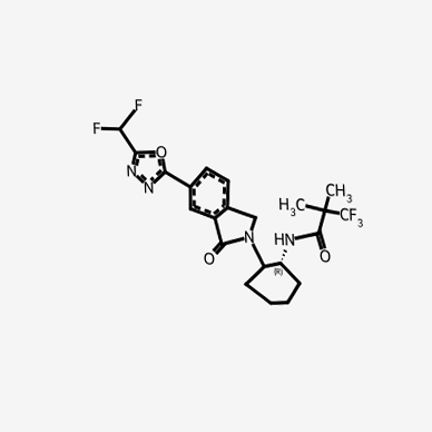 CC(C)(C(=O)N[C@@H]1CCCCC1N1Cc2ccc(-c3nnc(C(F)F)o3)cc2C1=O)C(F)(F)F